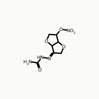 NC(=O)NN=C1COC2C(O[N+](=O)[O-])COC12